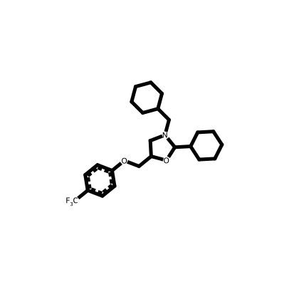 FC(F)(F)c1ccc(OCC2CN(CC3CCCCC3)C(C3CCCCC3)O2)cc1